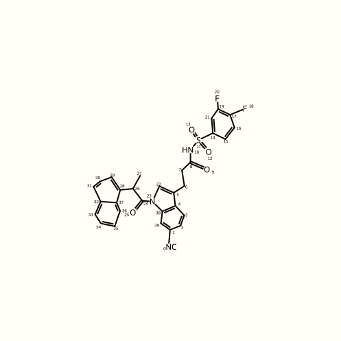 [C-]#[N+]c1ccc2c(CCC(=O)NS(=O)(=O)c3ccc(F)c(F)c3)cn(C(=O)C(C)c3cccc4ccccc34)c2c1